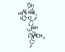 C[C@H](CO)Nc1n[nH]c2nccc(Oc3ccc(NC(=O)c4cn(C)n(-c5ccc(F)cc5)c4=O)cc3F)c12